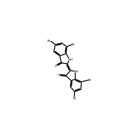 O=C1/C(=C2/Nc3c(Br)cc(Br)cc3C2=O)Nc2c(Br)cc(Br)cc21